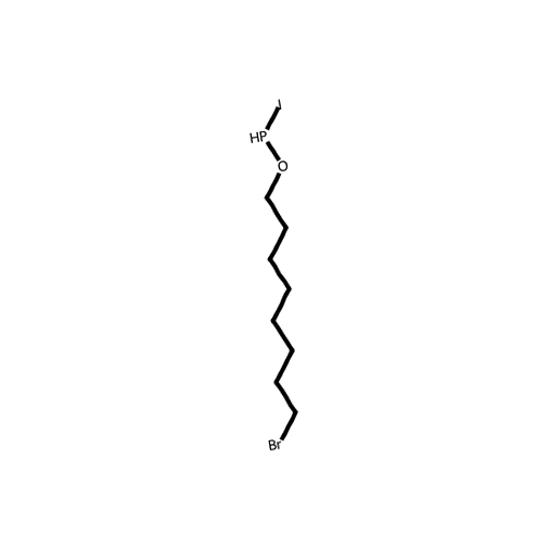 BrCCCCCCCCOPI